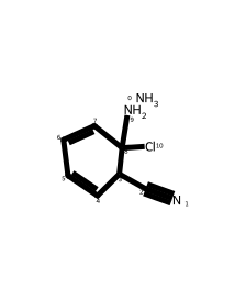 N.N#CC1C=CC=CC1(N)Cl